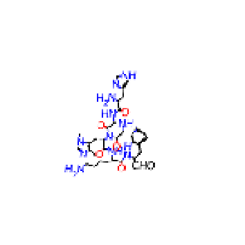 Cc1ncn(C)c1C[C@@H](C(=O)N[C@@H](CCCCN)C(=O)N[C@H]([C]=O)Cc1ccccc1)N(C(=O)CN)C(=O)CNC(=O)[C@@H](N)Cc1c[nH]cn1